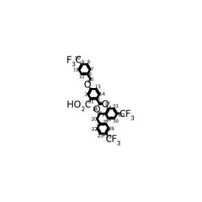 O=C(O)c1cc(OCc2ccc(C(F)(F)F)cc2)ccc1C(=O)OC(Cc1ccc(C(F)(F)F)cc1)c1ccc(C(F)(F)F)cc1